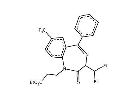 CCOC(=O)CCN1C(=O)C(C(CC)CC)N=C(c2ccccc2)c2cc(C(F)(F)F)ccc21